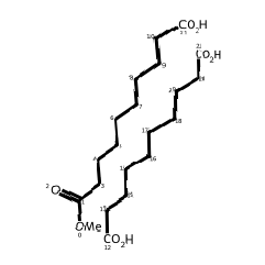 COC(=O)CCCCCCCCC(=O)O.O=C(O)CCCCCCCCC(=O)O